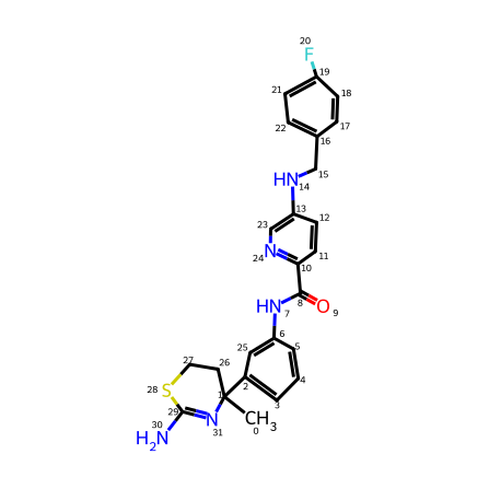 CC1(c2cccc(NC(=O)c3ccc(NCc4ccc(F)cc4)cn3)c2)CCSC(N)=N1